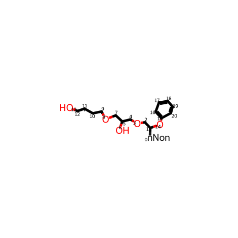 CCCCCCCCCC(COCC(O)COCC[CH]CO)Oc1ccccc1